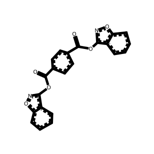 O=C(Oc1noc2ccccc12)c1ccc(C(=O)Oc2noc3ccccc23)cc1